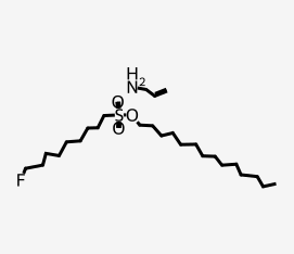 C=CCN.CCCCCCCCCCCCCCOS(=O)(=O)CCCCCCCCCF